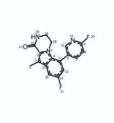 Cc1c2n(c3c(-c4ccc(F)nc4)cc(F)cc13)CCNC2=O